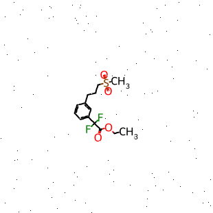 CCOC(=O)C(F)(F)c1cccc(CCCS(C)(=O)=O)c1